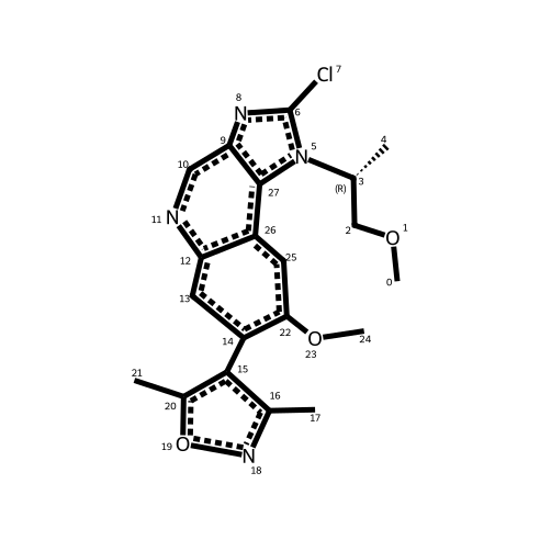 COC[C@@H](C)n1c(Cl)nc2cnc3cc(-c4c(C)noc4C)c(OC)cc3c21